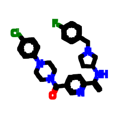 C=C(N[C@H]1CCN(Cc2ccc(F)cc2)C1)c1ccc(C(=O)N2CCN(c3ccc(Cl)cc3)CC2)cn1